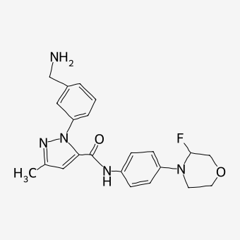 Cc1cc(C(=O)Nc2ccc(N3CCOCC3F)cc2)n(-c2cccc(CN)c2)n1